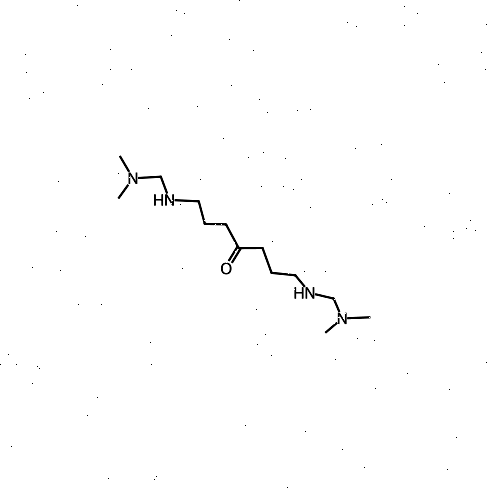 CN(C)CNCCCC(=O)CCCNCN(C)C